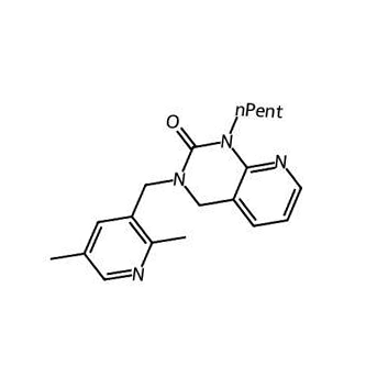 CCCCCN1C(=O)N(Cc2cc(C)cnc2C)Cc2cccnc21